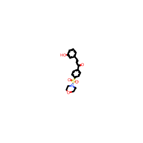 O=C(/C=C/c1cccc(O)c1)c1ccc(S(=O)(=O)N2CCOCC2)cc1